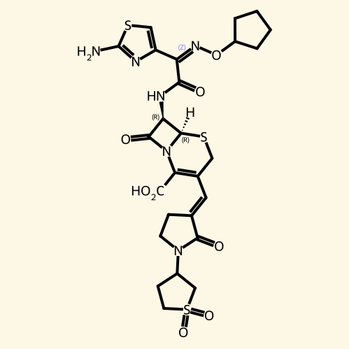 Nc1nc(/C(=N/OC2CCCC2)C(=O)N[C@@H]2C(=O)N3C(C(=O)O)=C(C=C4CCN(C5CCS(=O)(=O)C5)C4=O)CS[C@H]23)cs1